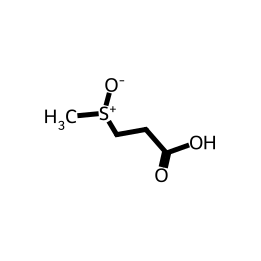 C[S+]([O-])CCC(=O)O